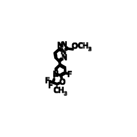 COCc1nnc2ccc(-c3cnc(O[C@H](C)C(F)(F)F)c(F)c3)nn12